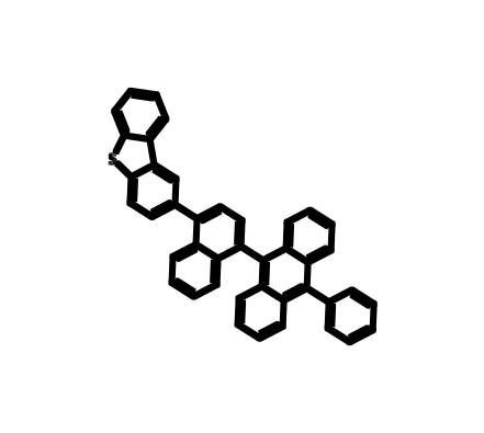 c1ccc(-c2c3ccccc3c(-c3ccc(-c4ccc5sc6ccccc6c5c4)c4ccccc34)c3ccccc23)cc1